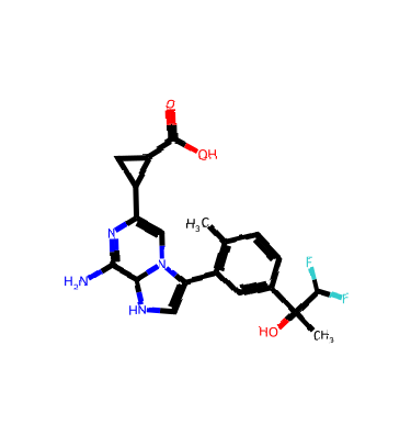 Cc1ccc(C(C)(O)C(F)F)cc1C1=CNC2C(N)=NC(C3CC3C(=O)O)=CN12